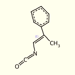 C/C(=C\N=C=O)c1ccccc1